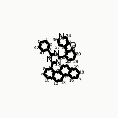 c1ccc(-c2nc(-c3cccc4ccc5c6ccccc6ccc5c34)nc(-c3cccc4oc5cnccc5c34)n2)cc1